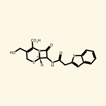 O=C(Cc1cc2ccccc2s1)NC1C(=O)N2C(C(=O)O)=C(CO)CS[C@@H]12